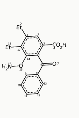 CCc1cc(C(=O)O)c(C(=O)c2ccccc2)c(ON)c1CC